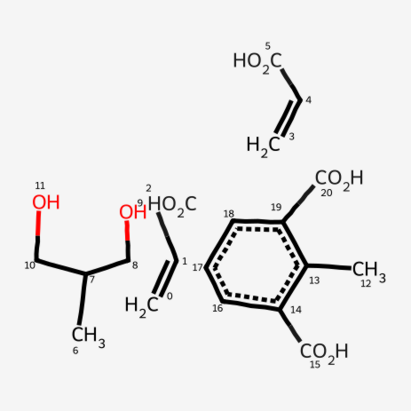 C=CC(=O)O.C=CC(=O)O.CC(CO)CO.Cc1c(C(=O)O)cccc1C(=O)O